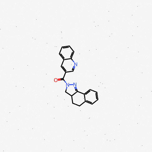 O=C(c1cnc2ccccc2c1)N1CC2CCc3ccccc3C2=N1